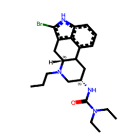 CCCN1C[C@@H](NC(=O)N(CC)CC)CC2c3cccc4[nH]c(Br)c(c34)C[C@H]21